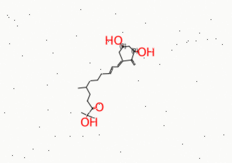 C=C1C(=CC=CCCCC(C)CCC(=O)C(C)(C)O)C[C@@H](O)C[C@H]1O